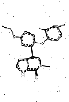 CCSc1ccc(Oc2ccc(F)cc2F)c(-c2cn(C)c(=O)c3[nH]ccc23)c1